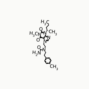 CCC[C@H](C)n1c(=O)n(C)c(=O)c2c1ncn2CCN(CCc1ccc(C)cc1)C(N)=O